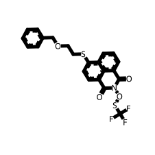 O=C1c2cccc3c(SCCOCc4ccccc4)ccc(c23)C(=O)N1OSC(F)(F)F